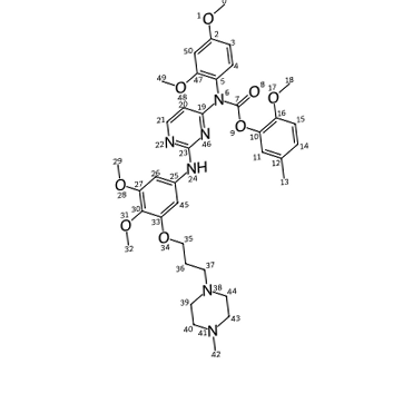 COc1ccc(N(C(=O)Oc2cc(C)ccc2OC)c2ccnc(Nc3cc(OC)c(OC)c(OCCCN4CCN(C)CC4)c3)n2)c(OC)c1